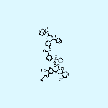 O=C(NC(c1ccccc1)c1cccc(OC(=O)c2cccc(S(=O)(=O)N3CCS[C@H]3C(=O)O[C@@H](Cc3c(Cl)cncc3Cl)c3ccc(O)c(OCC4CC4)c3)c2)c1)O[C@H]1CN2CCC1CC2